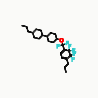 CCCC1=CC=C(C(F)(F)OC2CCC(C3CCC(CCC)CC3)CC2)C(F)(F)C1(F)F